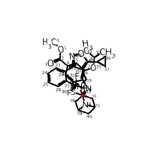 COC(=O)c1cc(OC(C)C)c2nc(N3C4CC(NCc5c(-c6ccccc6C(F)(F)F)noc5C5CC5)CC3C4)sc2c1